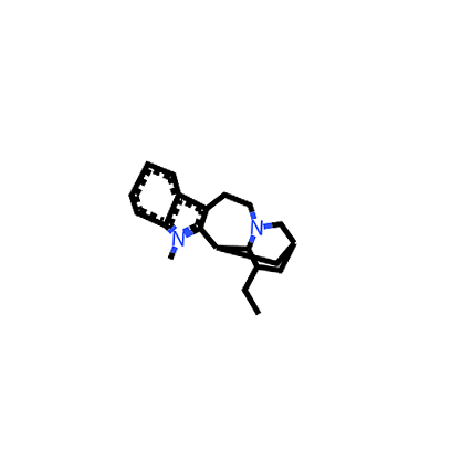 CCC1CC2CC3c4c(c5ccccc5n4C)CCN(C2)C13